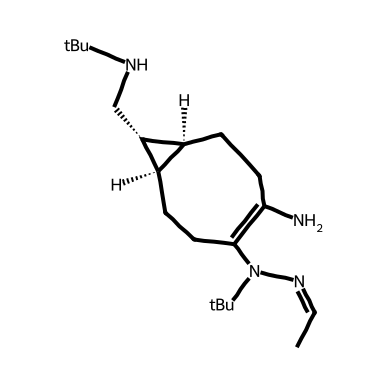 C/C=N\N(/C1=C(\N)CC[C@H]2[C@@H](CC1)[C@@H]2CNC(C)(C)C)C(C)(C)C